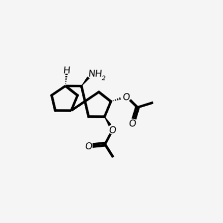 CC(=O)O[C@H]1CC2(C[C@@H]1OC(C)=O)C1CC[C@H](C1)[C@H]2N